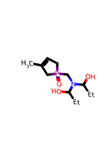 CCC(O)N(CP1(=O)CC=C(C)C1)C(O)CC